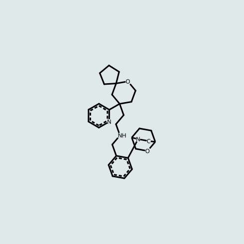 c1ccc(C2(CCNCc3ccccc3N3CC4CCC3CO4)CCOC3(CCCC3)C2)nc1